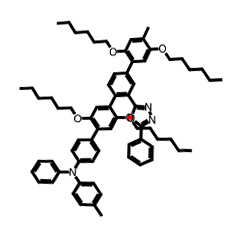 CCCCCCOc1cc(-c2ccc(-c3cc(OCCCCCC)c(-c4ccc(N(c5ccccc5)c5ccc(C)cc5)cc4)cc3OCCCCCC)c(-c3nnc(-c4ccccc4)o3)c2)c(OCCCCCC)cc1C